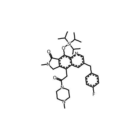 CC(C)[Si](Oc1c2c(c(CC(=O)N3CCN(C)CC3)c3cc(Cc4ccc(F)cc4)cnc13)CN(C)C2=O)(C(C)C)C(C)C